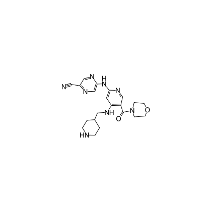 N#Cc1cnc(Nc2cc(NCC3CCNCC3)c(C(=O)N3CCOCC3)cn2)cn1